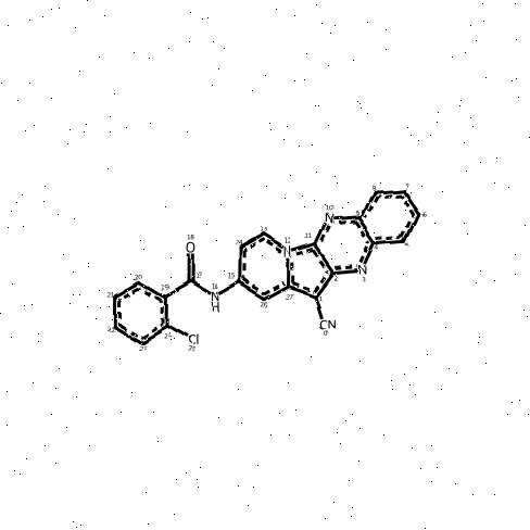 N#Cc1c2nc3ccccc3nc2n2ccc(NC(=O)c3ccccc3Cl)cc12